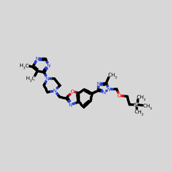 Cc1ncnc(N2CCN(Cc3nc4ccc(-c5nc(C)n(COCC[Si](C)(C)C)n5)cc4o3)CC2)c1C